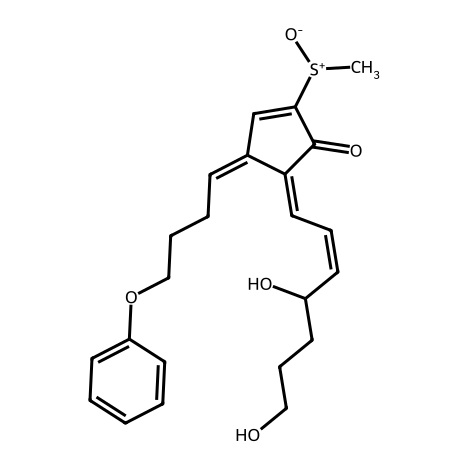 C[S+]([O-])C1=CC(=CCCCOc2ccccc2)C(=C/C=C\C(O)CCCO)C1=O